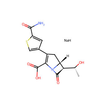 C[C@@H](O)[C@H]1C(=O)N2C(C(=O)O)=C(c3csc(C(N)=O)c3)C[C@H]12.[NaH]